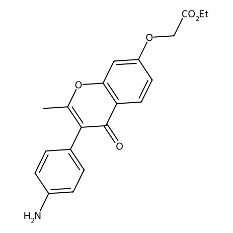 CCOC(=O)COc1ccc2c(=O)c(-c3ccc(N)cc3)c(C)oc2c1